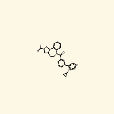 CC(=O)C1=CC2CCN(C(=O)c3cccc(-c4cncn4C4CC4)n3)c3ccccc3C2S1